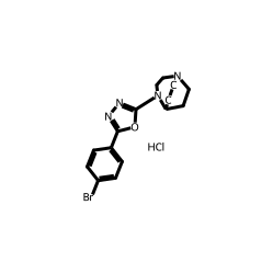 Brc1ccc(-c2nnc(N3CCN4CCC3CC4)o2)cc1.Cl